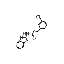 O=C(CCc1cccc(Cl)c1)Nc1nc2ccccc2s1